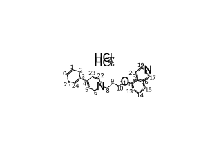 C1=CCC(C2=CCN(CCCOc3cccc4cnccc34)C=C2)=CC1.Cl.Cl